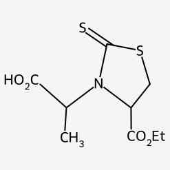 CCOC(=O)C1CSC(=S)N1C(C)C(=O)O